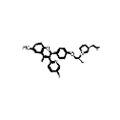 CC1=C(c2ccc(F)cn2)C(c2ccc(OC[C@H](C)N3CC[C@@H](CF)C3)cc2)Oc2ccc(O)cc21